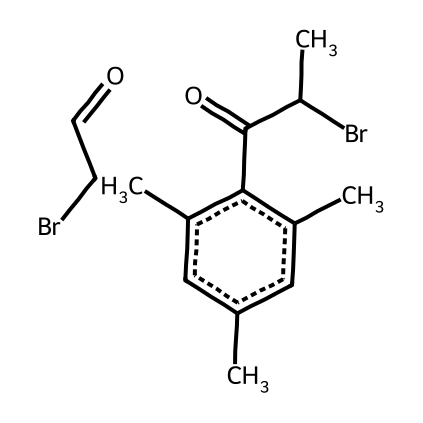 Cc1cc(C)c(C(=O)C(C)Br)c(C)c1.O=CCBr